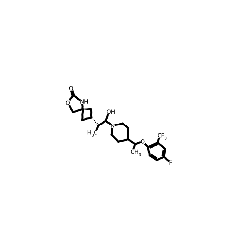 CC(Oc1ccc(F)cc1C(F)(F)F)C1CCN(C(O)C(C)[C@H]2C[C@]3(COC(=O)N3)C2)CC1